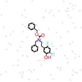 O=C(OCc1ccccc1)N(CCc1cc(O)c(F)cc1F)Cc1ccccc1